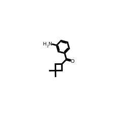 CC1(C)CC(C(=O)c2cccc(N)c2)C1